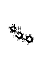 c1ccc(SC2CCN(c3ccn[nH]3)CC2)cc1